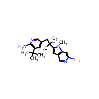 Cn1c(C(C)(C)Cc2cnc(N)c(C(C)(C)C)c2)cc2cnc(N)cc21